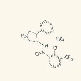 Cl.O=C(NC1CNCC1c1ccccc1)c1cccc(C(F)(F)F)c1Cl